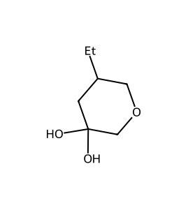 CCC1COCC(O)(O)C1